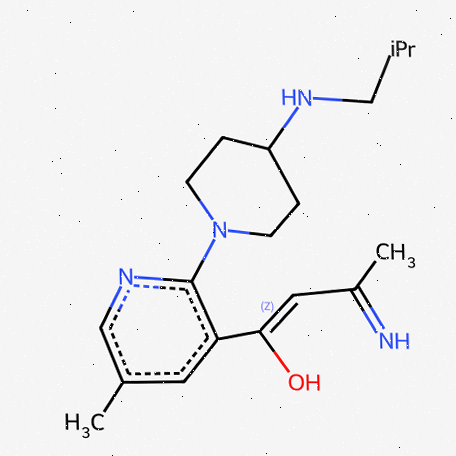 CC(=N)/C=C(\O)c1cc(C)cnc1N1CCC(NCC(C)C)CC1